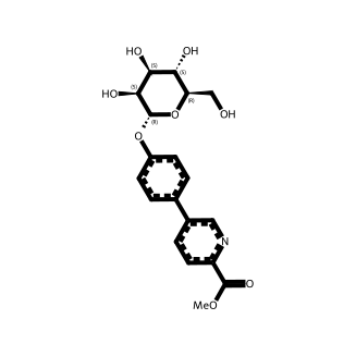 COC(=O)c1ccc(-c2ccc(O[C@H]3O[C@H](CO)[C@@H](O)[C@H](O)[C@@H]3O)cc2)cn1